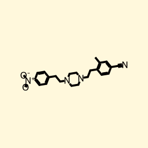 Cc1cc(C#N)ccc1CCN1CCN(CCc2ccc([N+](=O)[O-])cc2)CC1